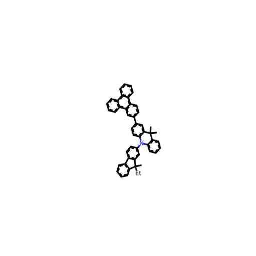 CCC1(C)c2ccccc2-c2ccc(N3c4ccccc4C(C)(C)c4cc(-c5ccc6c7ccccc7c7ccccc7c6c5)ccc43)cc21